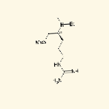 CCN(C)[C@@H](CCCNC(=N)N)CSC